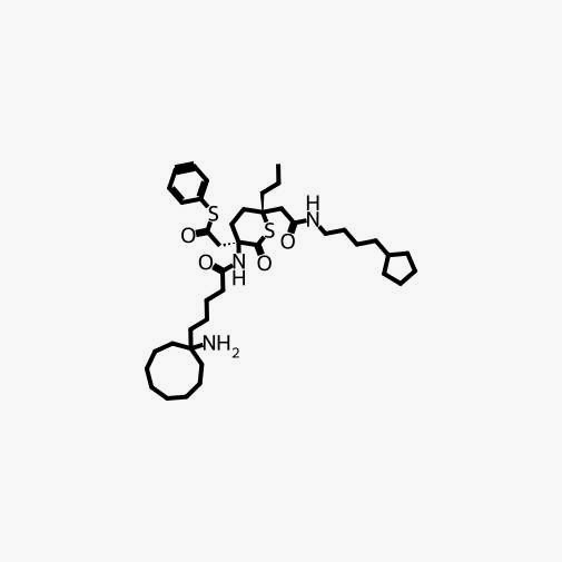 CCC[C@]1(CC(=O)NCCCCC2CCCC2)CC[C@](CC(=O)Sc2cc#ccc2)(NC(=O)CCCCC2(N)CCCCCCCC2)C(=O)S1